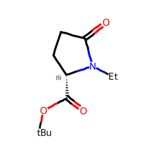 CCN1C(=O)CC[C@H]1C(=O)OC(C)(C)C